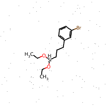 CCO[SiH](CCCc1cccc(Br)c1)OCC